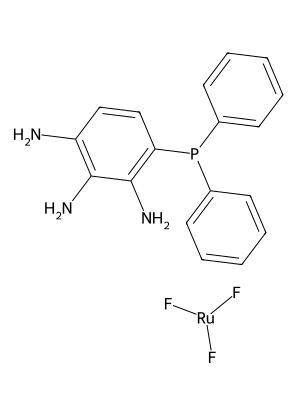 Nc1ccc(P(c2ccccc2)c2ccccc2)c(N)c1N.[F][Ru]([F])[F]